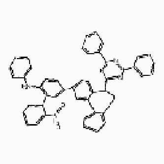 O=[SH](=O)c1ccccc1-c1cc(-c2ccc3c(c2)-c2ccccc2CCC3c2nc(-c3ccccc3)nc(-c3ccccc3)n2)ccc1Nc1ccccc1